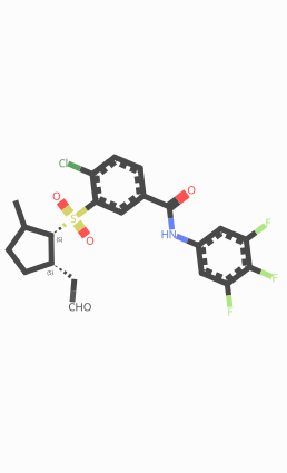 CC1CC[C@@H](CC=O)[C@H]1S(=O)(=O)c1cc(C(=O)Nc2cc(F)c(F)c(F)c2)ccc1Cl